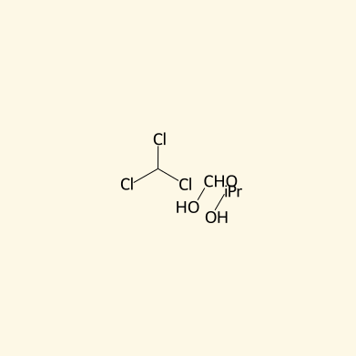 CC(C)O.ClC(Cl)Cl.O=CO